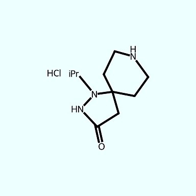 CC(C)N1NC(=O)CC12CCNCC2.Cl